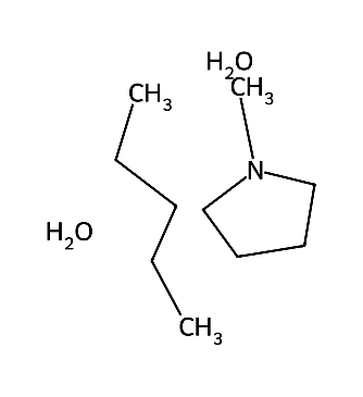 CCCCC.CN1CCCC1.O.O